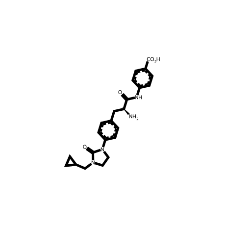 N[C@@H](Cc1ccc(N2CCN(CC3CC3)C2=O)cc1)C(=O)Nc1ccc(C(=O)O)cc1